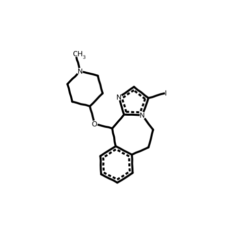 CN1CCC(OC2c3ccccc3CCn3c(I)cnc32)CC1